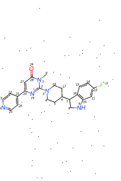 Cn1c(N2CCC(C3CNc4cc(F)ccc43)CC2)nc(-c2ccncc2)cc1=O